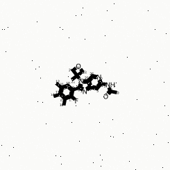 CC(=O)Nc1cc2nc(-c3cc(C)c(C)c(C)c3F)n(C3(C)COC3)c2cn1